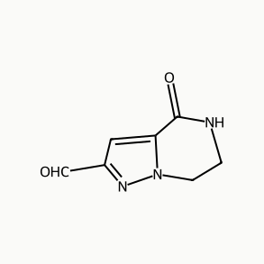 O=Cc1cc2n(n1)CCNC2=O